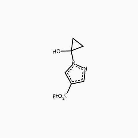 CCOC(=O)c1cnn(C2(O)CC2)c1